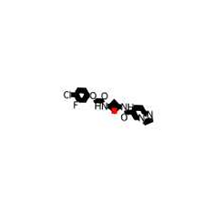 O=C(COc1ccc(Cl)c(F)c1)NC12CC(NC(=O)c3ccc4nccn4c3)(C1)C2